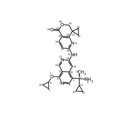 C[C@](N)(c1cnc(OC2CC2)c2cnc(Nc3ccc4c(n3)C3(CC3)COC4=O)cc12)C1CC1